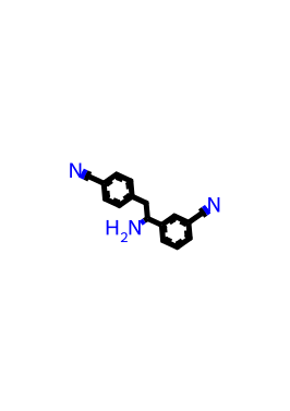 N#Cc1ccc(CC(N)c2cccc(C#N)c2)cc1